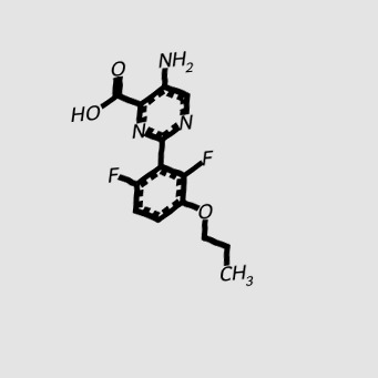 CCCOc1ccc(F)c(-c2ncc(N)c(C(=O)O)n2)c1F